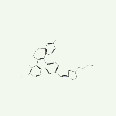 COc1cccc(C2=C(c3ccc(/C=C4/CCC(CCCF)C4)cc3)c3ccc(C(=O)O)cc3CCC2)c1C